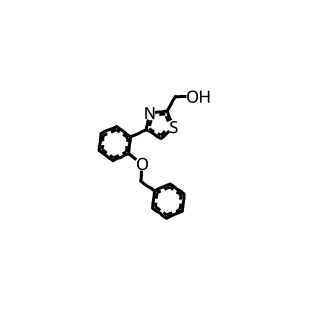 OCc1nc(-c2ccccc2OCc2ccccc2)cs1